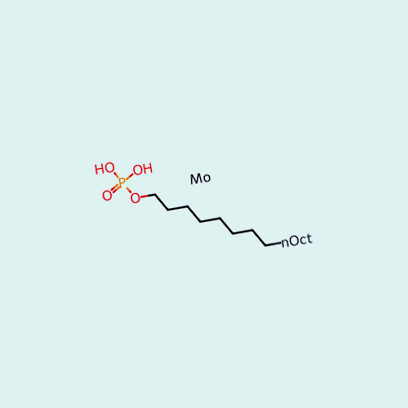 CCCCCCCCCCCCCCCCOP(=O)(O)O.[Mo]